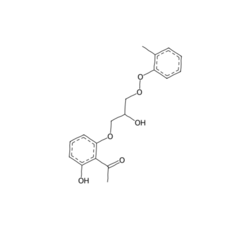 CC(=O)c1c(O)cccc1OCC(O)COOc1ccccc1C